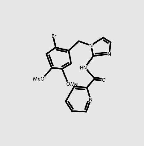 COc1cc(Br)c(Cn2ccnc2NC(=O)c2ccccn2)cc1OC